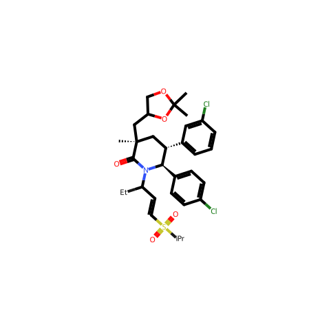 CCC(C=CS(=O)(=O)C(C)C)N1C(=O)[C@@](C)(CC2COC(C)(C)O2)C[C@H](c2cccc(Cl)c2)[C@H]1c1ccc(Cl)cc1